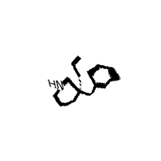 C=CC[C@]1(Cc2ccccc2)CCCNC1